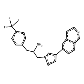 NC(Cc1ccc(C(F)(F)F)cc1)Cn1cc(-c2ccc3cnccc3c2)cn1